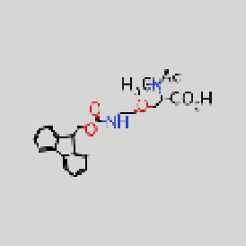 CC(=O)N(C)C(COCCNC(=O)OCC1c2ccccc2-c2ccccc21)C(=O)O